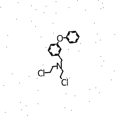 ClCCN(CCCl)Cc1cccc(Oc2ccccc2)c1